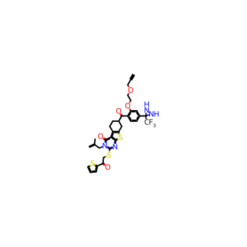 C#CCOCCOc1cc(C2(C(F)(F)F)NN2)ccc1C(=O)C1CCc2c(sc3nc(SCC(=O)c4cccs4)n(CC(=C)C)c(=O)c23)C1